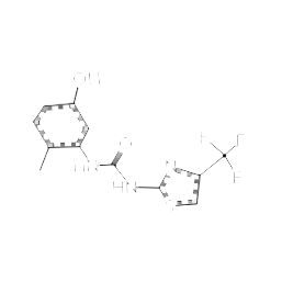 Cc1ccc(O)cc1NC(=O)Nc1nc(C(F)(F)F)cs1